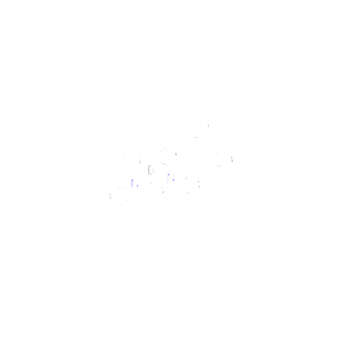 CC(C)(C)c1cc2c3c(c1)N(c1cccc(C(C)(C)c4ccccc4)c1)c1cc(C(C)(C)c4ccccc4)ccc1B3c1ccccc1N2c1ccccc1